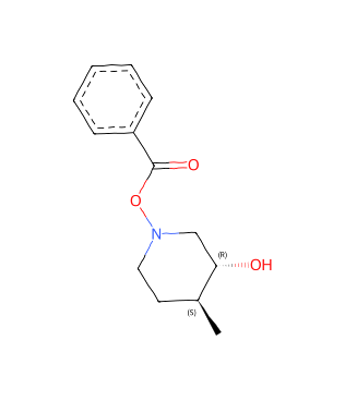 C[C@H]1CCN(OC(=O)c2ccccc2)C[C@@H]1O